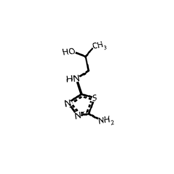 CC(O)CNc1nnc(N)s1